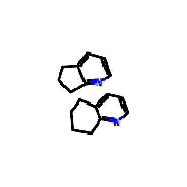 c1cnc2c(c1)CCC2.c1cnc2c(c1)CCCC2